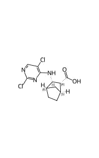 O=C(O)[C@@H]1[C@H]2CC[C@H](C2)[C@@H]1Nc1nc(Cl)ncc1Cl